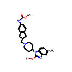 CCOc1nc2cc(C)ccc2n1C1CCN(CC2Cc3ccc(NC(=O)OC(C)(C)C)cc3C2)CC1